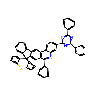 c1ccc(-c2nc(-c3ccccc3)nc(-c3ccc4c(c3)nc(-c3ccccc3)c3cc5c(cc34)-c3ccccc3C53c4ccccc4Sc4ccccc43)n2)cc1